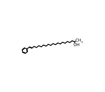 CC(O)CCCCCCCCCCCCCCCCCC=Cc1ccccc1